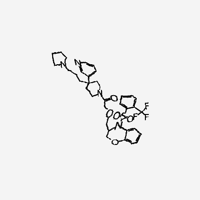 O=C(COCC1COc2ccccc2N1S(=O)(=O)c1ccccc1C(F)(F)F)N1CCC(CCCN2CCCC2)(c2cccnc2)CC1